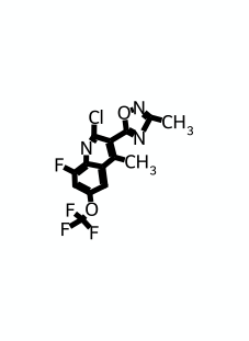 Cc1noc(-c2c(Cl)nc3c(F)cc(OC(F)(F)F)cc3c2C)n1